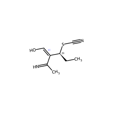 CC[C@H](SC#N)/C(=C/O)C(C)=N